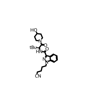 CC(C)(C)[C@H](NC(=O)c1nn(CCCCC#N)c2ccccc12)C(=O)N1CCC(O)CC1